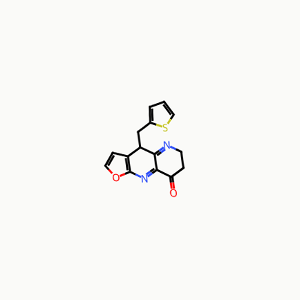 O=C1CCN=C2C1=Nc1occc1C2Cc1cccs1